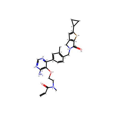 C=CC(=O)N(C)CCOc1c(N)ncnc1-c1ccc(CN2Cc3cc(C4CC4)sc3C2=O)c(C)c1